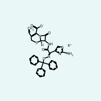 C=CC1=C(C(=O)[O-])N2C(=O)C(NC(=O)/C(=N\OC(c3ccccc3)(c3ccccc3)c3ccccc3)c3csc(N)n3)[C@@H]2SC1.[K+]